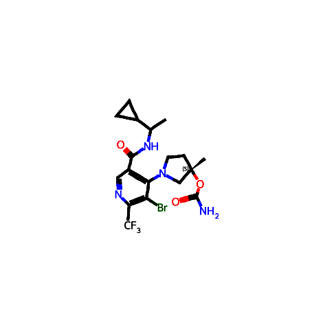 CC(NC(=O)c1cnc(C(F)(F)F)c(Br)c1N1CC[C@](C)(OC(N)=O)C1)C1CC1